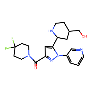 O=C(c1cc(C2CC(CO)CCN2)n(-c2cccnc2)n1)N1CCC(F)(F)CC1